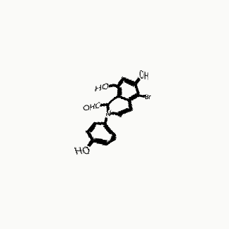 O=CC1c2c(O)cc(O)c(Br)c2C=CN1c1ccc(O)cc1